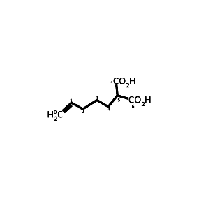 C=CCCCC(C(=O)O)C(=O)O